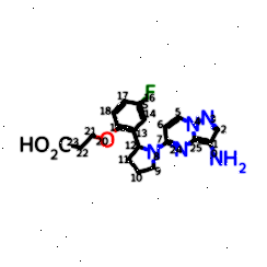 Nc1cnn2ccc(N3CCCC3c3cc(F)ccc3OCCC(=O)O)nc12